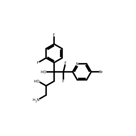 NCC(O)CC(O)(c1ccc(F)cc1F)C(F)(F)c1ccc(Br)cn1